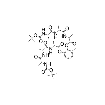 Cc1cccc(OC(=O)C(C)NC(=O)C(C)NC(=O)C(C)NC(=O)OC(C)(C)C)c1OC(=O)C(C)NC(=O)C(C)NC(=O)C(C)NC(=O)OC(C)(C)C